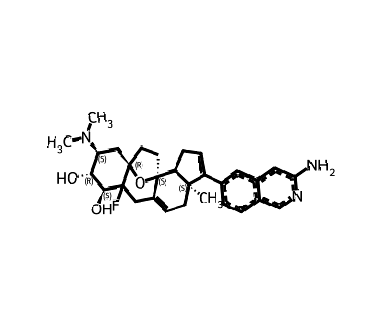 CN(C)[C@H]1C[C@@]23CC[C@@]4(O2)C(=CC[C@]2(C)C(c5ccc6cnc(N)cc6c5)=CCC24)CC3(F)[C@@H](O)[C@@H]1O